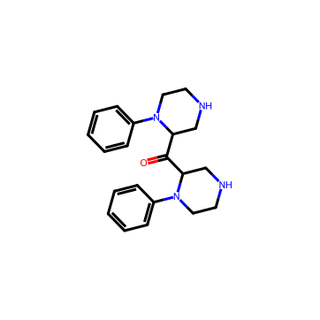 O=C(C1CNCCN1c1ccccc1)C1CNCCN1c1ccccc1